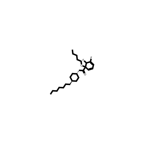 CCCCCCC[C@H]1CC[C@H](CC(=O)C2(OCCCCC)C=CC=C(F)C2F)CC1